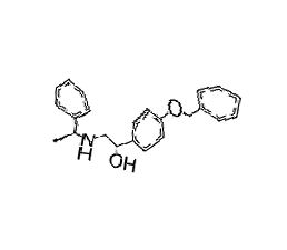 C[C@H](NC[C@@H](O)c1ccc(OCc2ccccc2)cc1)c1ccccc1